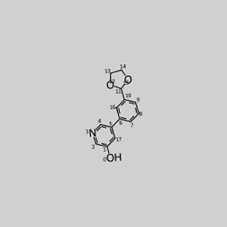 Oc1cncc(-c2cccc(C3OCCO3)c2)c1